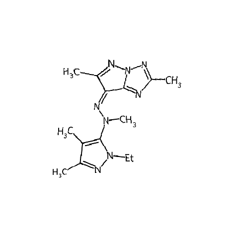 CCn1nc(C)c(C)c1N(C)/N=C1/C(C)=Nn2nc(C)nc21